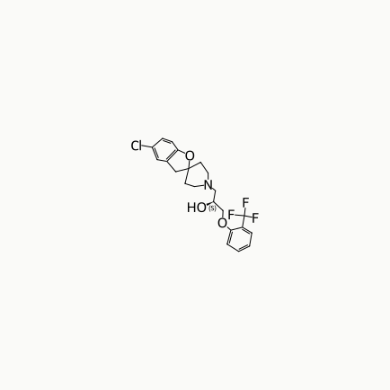 O[C@H](COc1ccccc1C(F)(F)F)CN1CCC2(CC1)Cc1cc(Cl)ccc1O2